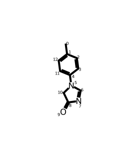 Cc1ccc(N2C=NC(=O)C2)cc1